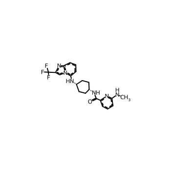 CNc1cccc(C(=O)N[C@H]2CC[C@@H](Nc3cccc4nc(C(F)(F)F)cn34)CC2)n1